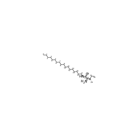 CCCCCCCCCCCCCCCCCCNC(=O)[C@@H](N)[C@@H](C)CC